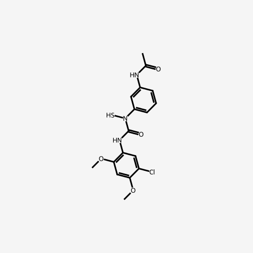 COc1cc(OC)c(NC(=O)N(S)c2cccc(NC(C)=O)c2)cc1Cl